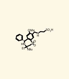 CCCC[C@]1(CC)CS(=O)(=O)c2cc(CNCCS(=O)(=O)O)c(OC)cc2[C@@H](c2ccccc2)N1